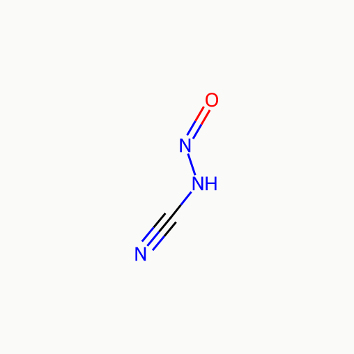 N#CNN=O